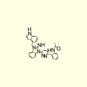 CC(=O)Nc1ccccc1-c1ccc(-n2c(=N)n(Cc3cccc4[nH]ccc34)c3ccccc32)nn1